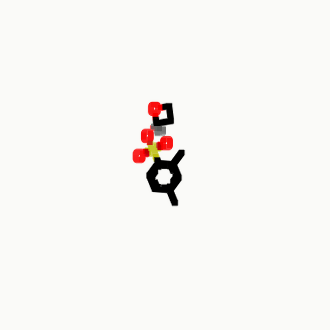 Cc1ccc(S(=O)(=O)O[C@H]2CCO2)c(C)c1